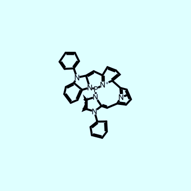 C[n+]1c2cccc1c1cccc3cc4n(-c5ccccc5)c5ccccc5n4p(n4c5ccccc5n(-c5ccccc5)c4c2)-[n+]31